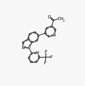 CC(=O)c1cncc(-c2ccc3cnn(-c4cccc(C(F)(F)F)n4)c3c2)c1